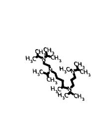 CC(C)N(C)CCCN(C(C)C)C(C)CCCN(CCN(C(C)C)C(C)C)C(C)C